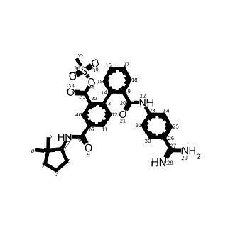 CC1(C)CCCC1NC(=O)c1ccc(-c2ccccc2C(=O)Nc2ccc(C(=N)N)cc2)c(C(=O)OS(C)(=O)=O)c1